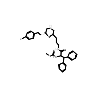 COC(=O)NC(C(=O)NCCCC1CNC[C@@H](CCc2ccc(Cl)cc2)O1)C(c1ccccc1)c1ccccc1